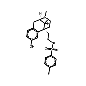 C[C@H]1[C@H]2Cc3ccc(O)cc3[C@]1(CCNS(=O)(=O)c1ccc(F)cc1)CCN2C